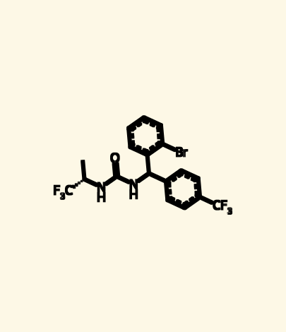 C[C@H](NC(=O)NC(c1ccc(C(F)(F)F)cc1)c1ccccc1Br)C(F)(F)F